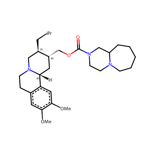 COc1cc2c(cc1OC)[C@H]1C[C@@H](COC(=O)N3CCN4CCCCCC4C3)[C@H](CC(C)C)CN1CC2